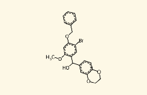 COc1cc(OCc2ccccc2)c(Br)cc1C(O)c1ccc2c(c1)OCCO2